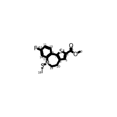 COC(=O)c1cc2c(s1)-c1ccc(F)cc1N(SI)CC2